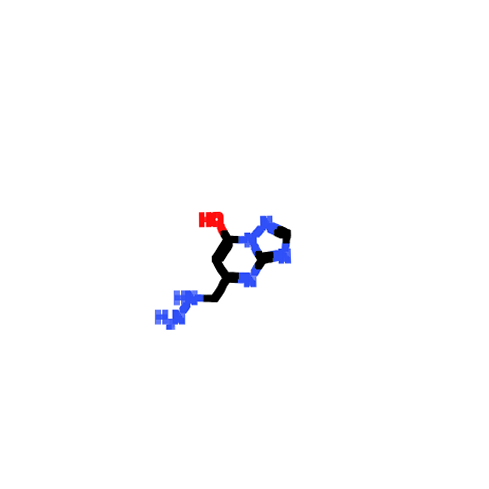 NNCc1cc(O)n2ncnc2n1